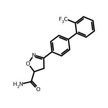 NC(=O)C1CC(c2ccc(-c3ccccc3C(F)(F)F)cc2)=NO1